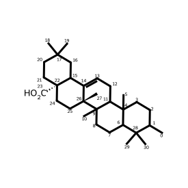 CC1CCC2(C)C(CCC3(C)C2CC=C2C4CC(C)(C)CC[C@]4(C(=O)O)CC[C@]23C)C1(C)C